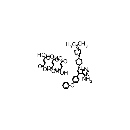 CC(C)N1CCN([C@H]2CC[C@H](n3cc(-c4ccc(Oc5ccccc5)cc4)c4c(N)ncnc43)CC2)CC1.O=C(O)C=CC(=O)O.O=C(O)C=CC(=O)O.O=C(O)C=CC(=O)O